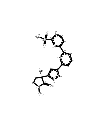 CN1CC[C@@](O)(c2cc(-c3cccc(-c4ccnc(S(C)(=O)=O)n4)n3)no2)C1=O